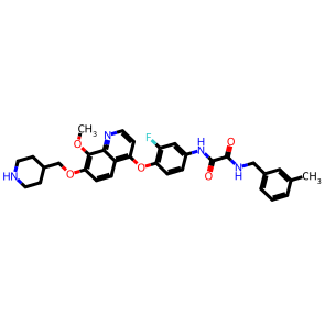 COc1c(OCC2CCNCC2)ccc2c(Oc3ccc(NC(=O)C(=O)NCc4cccc(C)c4)cc3F)ccnc12